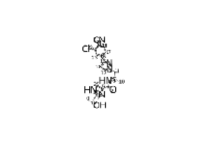 CC(O)c1nc(C(=O)N[C@@H](C)Cn2ccc(-c3ccc(C#N)c(Cl)c3)n2)c[nH]1